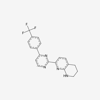 FC(F)(F)c1ccc(-c2c[c]nc(-c3ccc4c(n3)NCCC4)n2)cc1